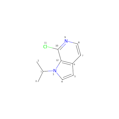 CC(C)n1ccc2ccnc(Cl)c21